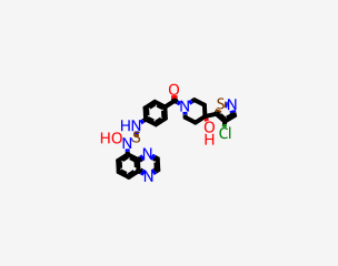 O=C(c1ccc(NSN(O)c2cccc3nccnc23)cc1)N1CCC(O)(c2sncc2Cl)CC1